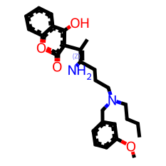 CCCCN(CCC/C(N)=C(\C)c1c(O)c2ccccc2oc1=O)Cc1cccc(OC)c1